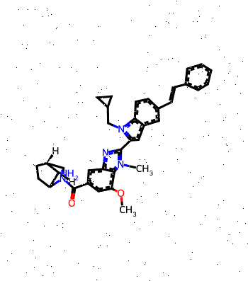 COc1cc(C(=O)N2C[C@H]3CCC2[C@H]3N)cc2nc(-c3cc4cc(/C=C/c5ccccc5)ccc4n3CC3CC3)n(C)c12